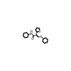 O=C(Nc1ccccc1)C(=CSc1ccccc1)c1cccs1